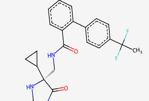 CC(F)(F)c1ccc(-c2ccccc2C(=O)NC[C@@]2(C3CC3)NC(=O)NC2=O)cc1